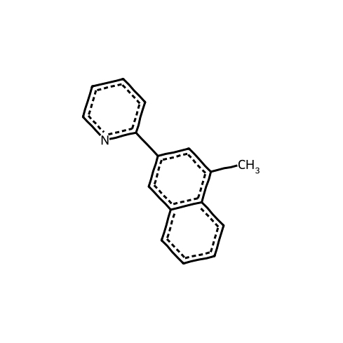 Cc1cc(-c2ccccn2)cc2ccccc12